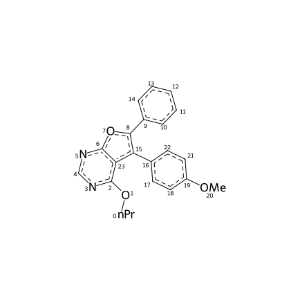 CCCOc1ncnc2oc(-c3ccccc3)c(-c3ccc(OC)cc3)c12